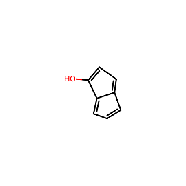 OC1=CC=C2C=CC=C12